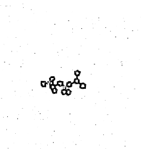 c1ccc(-c2cc(-c3ccccc3)cc(-c3ccc(N(c4cccc(-c5c6ccccc6cc6c5c5ccccc5n6-c5ccccc5)c4)c4cccc5ccccc45)cc3)c2)cc1